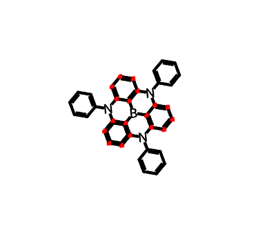 c1ccc(N(c2ccccc2)c2ccccc2B(c2ccccc2N(c2ccccc2)c2ccccc2)c2ccccc2N(c2ccccc2)c2ccccc2)cc1